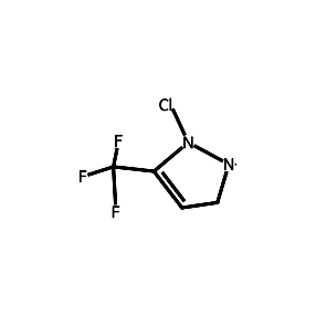 FC(F)(F)C1=CC[N]N1Cl